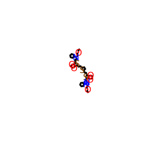 C=COCCN(/C=C/c1sc(/C=C/c2ccc(/C=C/c3sc(/C=N/N(CCOC=C)c4ccccc4)c4c3OCCO4)s2)c2c1OCCO2)c1ccccc1